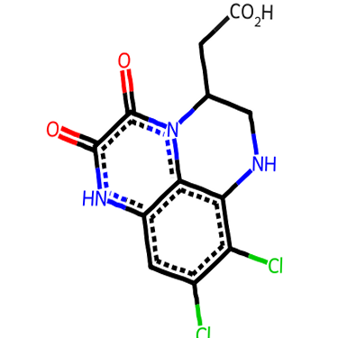 O=C(O)CC1CNc2c(Cl)c(Cl)cc3[nH]c(=O)c(=O)n1c23